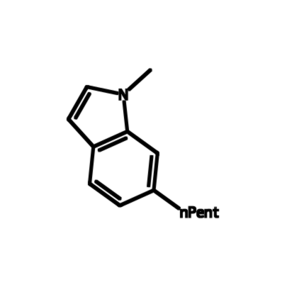 CCCCCc1ccc2ccn(C)c2c1